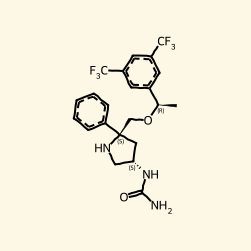 C[C@@H](OC[C@@]1(c2ccccc2)C[C@H](NC(N)=O)CN1)c1cc(C(F)(F)F)cc(C(F)(F)F)c1